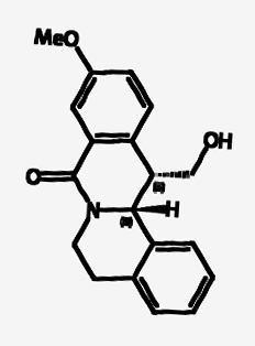 COc1ccc2c(c1)C(=O)N1CCc3ccccc3[C@H]1[C@H]2CO